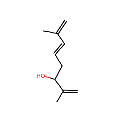 C=C(C)C=CCC(O)C(=C)C